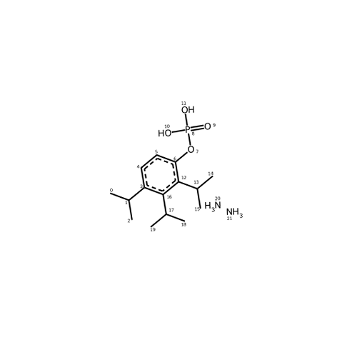 CC(C)c1ccc(OP(=O)(O)O)c(C(C)C)c1C(C)C.N.N